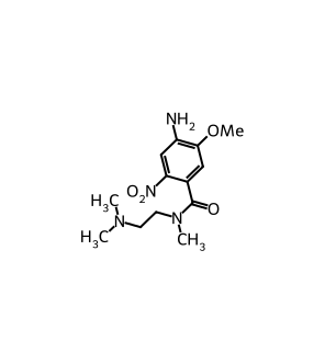 COc1cc(C(=O)N(C)CCN(C)C)c([N+](=O)[O-])cc1N